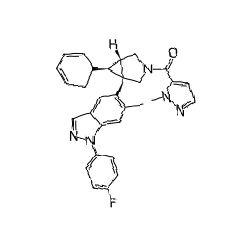 Cc1cc2c(cnn2-c2ccc(F)cc2)cc1[C@]12CN(C(=O)c3ccnn3C)C[C@H]1[C@@H]2C1C=CC=CC1